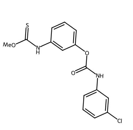 COC(=S)Nc1cccc(OC(=O)Nc2cccc(Cl)c2)c1